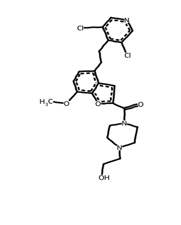 COc1ccc(CCc2c(Cl)cncc2Cl)c2cc(C(=O)N3CCN(CCO)CC3)oc12